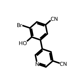 N#Cc1cncc(-c2cc(C#N)cc(Br)c2O)c1